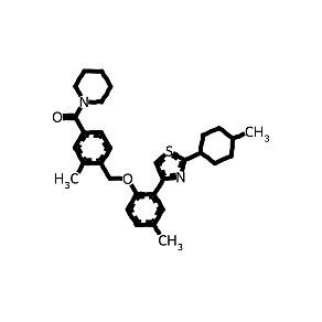 Cc1ccc(OCc2ccc(C(=O)N3CCCCC3)cc2C)c(-c2csc(C3CCC(C)CC3)n2)c1